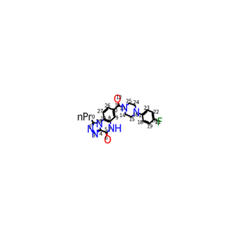 CCCc1nnc2c(=O)[nH]c3cc(C(=O)N4CCN(c5ccc(F)cc5)CC4)ccc3n12